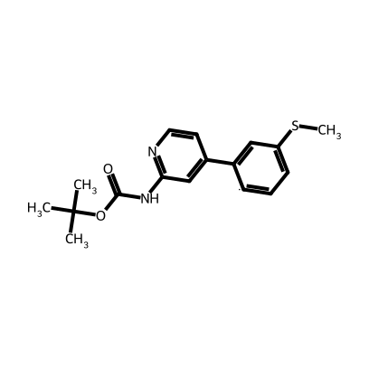 CSc1cc[c]c(-c2ccnc(NC(=O)OC(C)(C)C)c2)c1